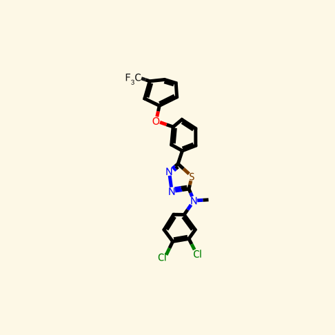 CN(c1ccc(Cl)c(Cl)c1)c1nnc(-c2cccc(Oc3cccc(C(F)(F)F)c3)c2)s1